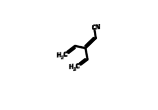 C=CC(C=C)=CC#N